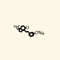 COc1cccc(C=CC2=C3CCC(=O)[C@@]3(C)CCC2=O)c1